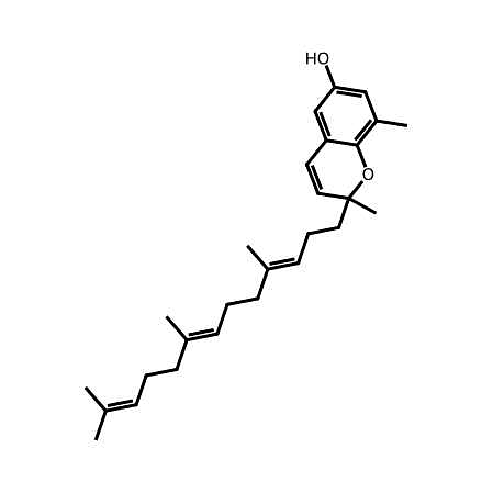 CC(C)=CCC/C(C)=C/CC/C(C)=C/CCC1(C)C=Cc2cc(O)cc(C)c2O1